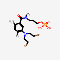 CN(CCCOP(=O)(O)O)C(=O)c1cc(N(CCBr)CCBr)c(C#N)cc1[N+](=O)[O-]